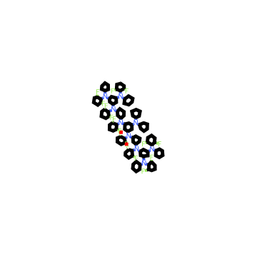 Fc1cccc(F)c1N(c1cccc(N(c2cc(N(c3ccccc3)c3c(F)cccc3F)cc(N(c3ccccc3)c3c(F)cccc3F)c2)c2c(F)cccc2F)c1)c1cc(N(c2ccccc2)c2ccccc2)cc(N(c2cccc(N(c3cc(N(c4ccccc4)c4c(F)cccc4F)cc(N(c4ccccc4)c4c(F)cccc4F)c3)c3c(F)cccc3F)c2)c2c(F)cccc2F)c1